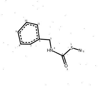 [N]SC(=O)NCc1ccccc1